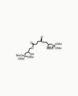 CO[Si](CC(O)COC(=O)CCC(=O)OCC(O)C[Si](OC)(OC)OC)(OC)OC